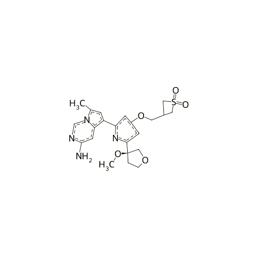 CO[C@]1(c2cc(OCC3CS(=O)(=O)C3)cc(-c3cc(C)n4cnc(N)cc34)n2)CCOC1